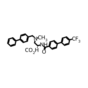 CN(Cc1ccc(-c2ccccc2)cc1)C[C@H](NC(=O)c1ccc(-c2ccc(C(F)(F)F)cc2)cc1)C(=O)O